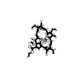 CCOC(=O)C1=CC2=C3[N]4C(=CC5=NC(=Cc6c(CC)c(C)c([n]6[Sn]4([Cl])[Cl])C=C4N=C2C(C)=C4CC)C(C)=C5CC)[C@H](C)[C@]13CC